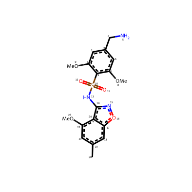 COc1cc(CN)cc(OC)c1S(=O)(=O)Nc1noc2cc(C)cc(OC)c12